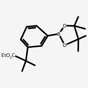 CCOC(=O)C(C)(C)c1cccc(B2OC(C)(C)C(C)(C)O2)c1